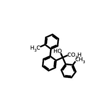 Cc1ccccc1-c1ccccc1C(O)(C(=O)O)c1ccccc1C